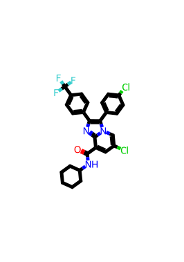 O=C(NC1CCCCC1)c1cc(Cl)cn2c(-c3ccc(Cl)cc3)c(-c3ccc(C(F)(F)F)cc3)nc12